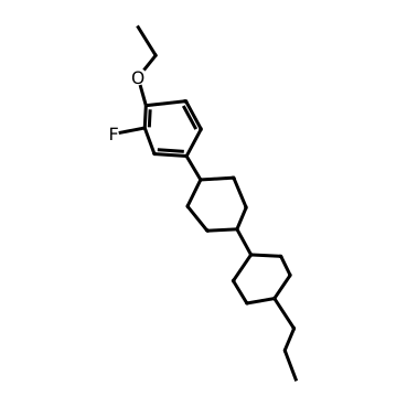 CCCC1CCC(C2CCC(c3ccc(OCC)c(F)c3)CC2)CC1